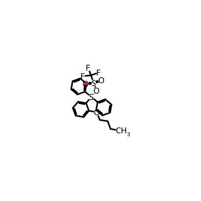 CCCCOc1ccccc1S(OS(=O)(=O)C(F)(F)F)(c1ccccc1)c1ccccc1